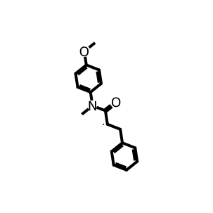 COc1ccc(N(C)C(=O)[CH]Cc2ccccc2)cc1